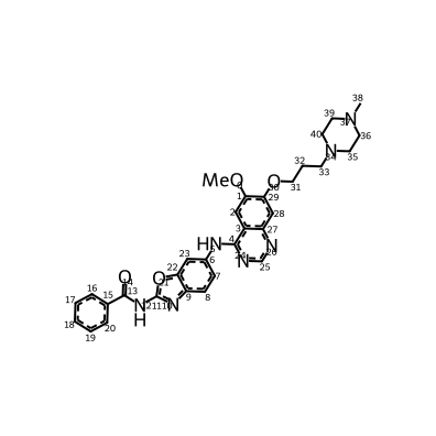 COc1cc2c(Nc3ccc4nc(NC(=O)c5ccccc5)oc4c3)ncnc2cc1OCCCN1CCN(C)CC1